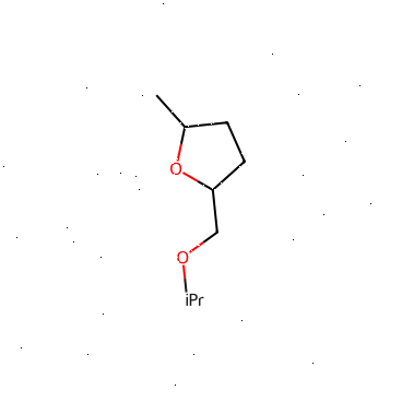 CC(C)OCC1CCC(C)O1